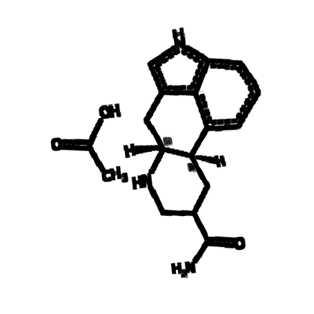 CC(=O)O.NC(=O)C1CN[C@@H]2Cc3c[nH]c4cccc(c34)[C@H]2C1